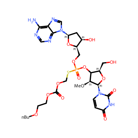 CCCCOCCOC(=O)OCSP(=O)(OC[C@H]1O[C@@H](n2cnc3c(N)ncnc32)C[C@H]1O)OC1[C@@H](CO)O[C@@H](n2ccc(=O)[nH]c2=O)[C@H]1OC